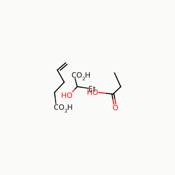 C=CCCC(=O)O.CCC(=O)O.CCC(O)C(=O)O